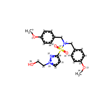 COc1ccc(CN(Cc2ccc(OC)cc2)S(=O)(=O)c2ccn(CCO)n2)cc1